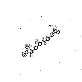 CNCC(=O)N1CC2(CC1c1nc(-c3ccc(-c4ccc(NC(=O)c5ccc(N6CCN(C(=O)[C@]7(C)CCCN7C(=O)COC)CC6)nc5)cc4OC(F)(F)F)cc3)c[nH]1)OCCO2